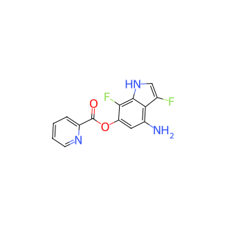 Nc1cc(OC(=O)c2ccccn2)c(F)c2[nH]cc(F)c12